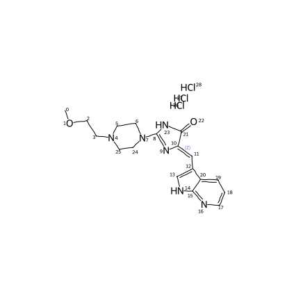 COCCN1CCN(C2=N/C(=C\c3c[nH]c4ncccc34)C(=O)N2)CC1.Cl.Cl.Cl